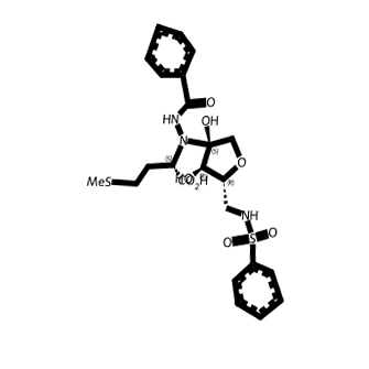 CSCC[C@@H](C(=O)O)N(NC(=O)c1ccccc1)[C@]1(O)CO[C@H](CNS(=O)(=O)c2ccccc2)[C@H]1O